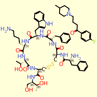 CC(O)[C@@H]1NC(=O)[C@H](CCCCN)NC(=O)[C@@H](Cc2c[nH]c3ccccc23)NC(=O)[C@H](Cc2ccccc2)NC(=O)[C@@H](NC(=O)[C@H](N)Cc2ccccc2)CSSC[C@@H](C(=O)N[C@H](CO)[C@@H](C)O)NC1=O.CC1CCN(CCCC(=O)c2ccc(F)cc2)CC1